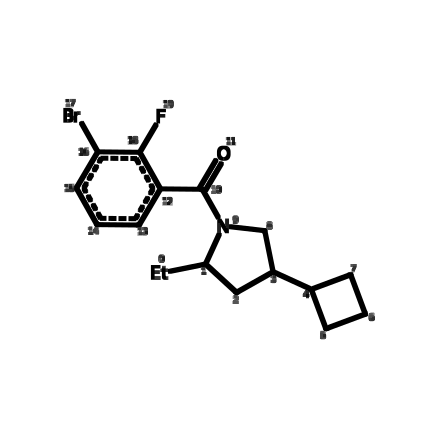 CCC1CC(C2CCC2)CN1C(=O)c1cccc(Br)c1F